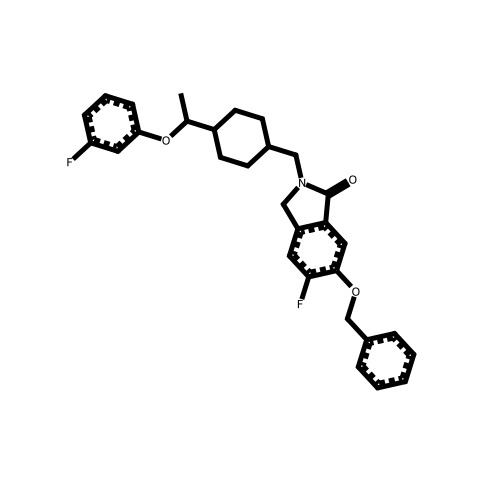 CC(Oc1cccc(F)c1)C1CCC(CN2Cc3cc(F)c(OCc4ccccc4)cc3C2=O)CC1